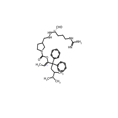 C/C=C(\OC(=O)N1CCC(CNN[C@H](C=O)CCCNC(=N)N)C1)C(CC(C)N(C)C)(c1ccccc1)c1ccccc1